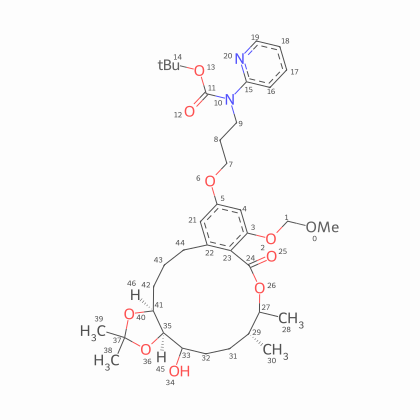 COCOc1cc(OCCCN(C(=O)OC(C)(C)C)c2ccccn2)cc2c1C(=O)OC(C)[C@H](C)CCC(O)[C@H]1OC(C)(C)O[C@H]1CCC2